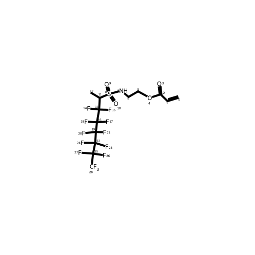 C=CC(=O)OCCNS(=O)(=O)C(C)C(F)(F)C(F)(F)C(F)(F)C(F)(F)C(F)(F)C(F)(F)F